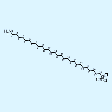 NCCCCCCCCCCCCCCCCCCCCCCCCCCCC[Si](Cl)(Cl)Cl